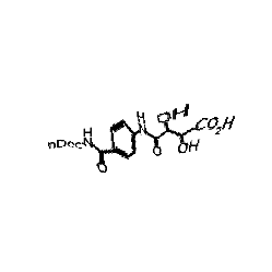 CCCCCCCCCCNC(=O)c1ccc(NC(=O)C(O)C(O)C(=O)O)cc1